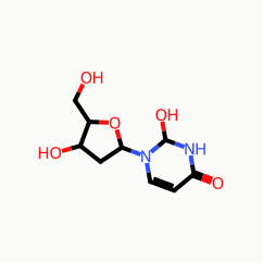 O=C1C=CN(C2CC(O)C(CO)O2)C(O)N1